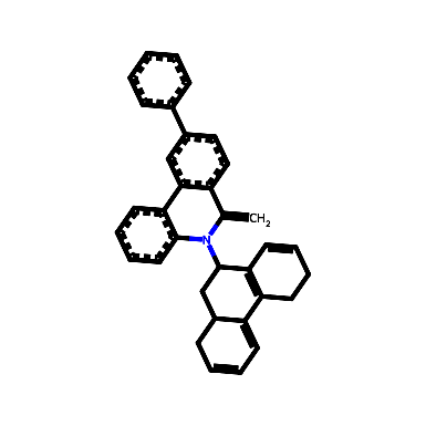 C=C1c2ccc(-c3ccccc3)cc2-c2ccccc2N1C1CC2CC=CC=C2C2=C1C=CCC2